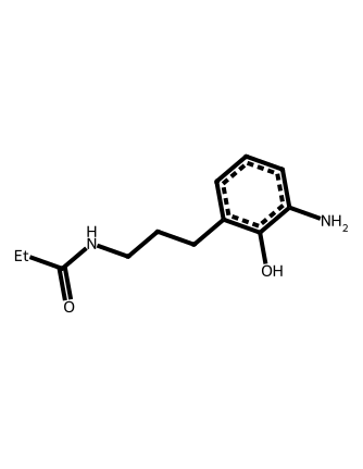 CCC(=O)NCCCc1cccc(N)c1O